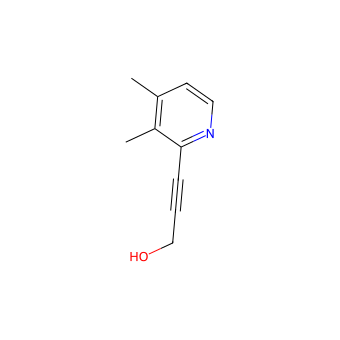 Cc1ccnc(C#CCO)c1C